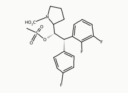 CS(=O)(=O)O[C@H](C1CCCN1C(=O)O)[C@@H](c1ccc(F)cc1)c1cccc(F)c1F